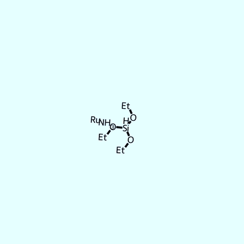 CCO[SiH](OCC)OCC.N.[Ru]